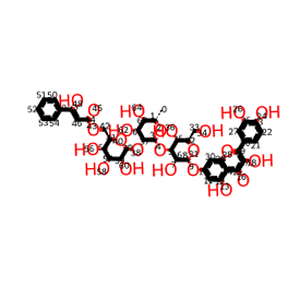 C[C@@H]1O[C@@H](O[C@@H]2[C@@H](O)[C@H](Oc3cc(O)c4c(=O)c(O)c(-c5ccc(O)c(O)c5)oc4c3)O[C@H](CO)[C@H]2O)[C@H](O[C@@H]2O[C@H](COC(=O)C=C(O)c3ccccc3)[C@@H](O)[C@H](O)[C@H]2O)[C@H](O)[C@H]1O